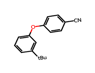 CC(C)(C)c1cccc(Oc2ccc(C#N)cc2)c1